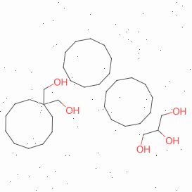 C1CCCCCCCCC1.C1CCCCCCCCC1.OCC(O)CO.OCC1(CO)CCCCCCCCC1